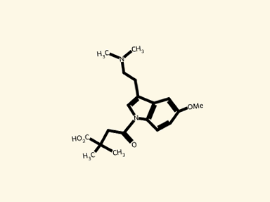 COc1ccc2c(c1)c(CCN(C)C)cn2C(=O)CC(C)(C)C(=O)O